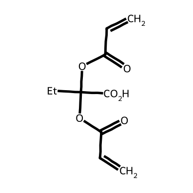 C=CC(=O)OC(CC)(OC(=O)C=C)C(=O)O